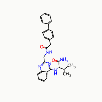 CC(C)[C@H](Nc1nc(CNC(=O)Cc2ccc(-c3ccccc3)cc2)nc2ccccc12)C(N)=O